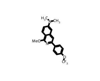 COc1nc(-c2ccc(OC(F)(F)F)cc2)cc2cc(N(C)C)ccc12